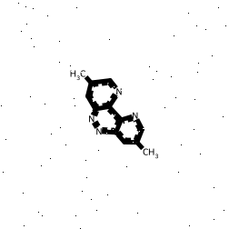 Cc1cnc2c(c1)nnc1cc(C)cnc12